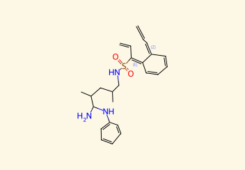 C=C/C=c1/cccc/c1=C(/C=C)S(=O)(=O)NCC(C)CC(C)C(N)Nc1ccccc1